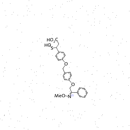 CO/N=C(\COc1ccc(COc2ccc(C(CC(=O)O)SO)cc2)cc1)c1ccccc1